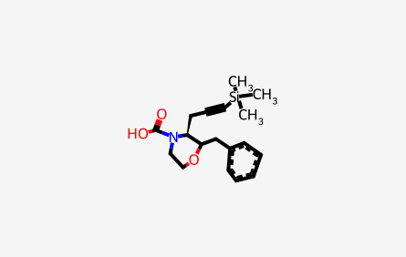 C[Si](C)(C)C#CC[C@H]1C(Cc2ccccc2)OCCN1C(=O)O